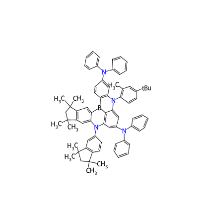 Cc1cc(C(C)(C)C)ccc1N1c2cc(N(c3ccccc3)c3ccccc3)ccc2B2c3cc4c(cc3N(c3ccc5c(c3)C(C)(C)CC5(C)C)c3cc(N(c5ccccc5)c5ccccc5)cc1c32)C(C)(C)CC4(C)C